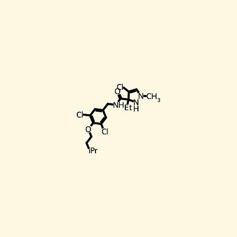 CCC1(C(=O)NCc2cc(Cl)c(OCCC(C)C)c(Cl)c2)NN(C)C=C1Cl